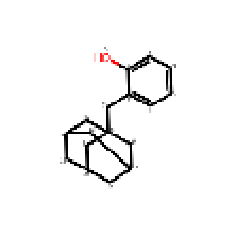 Oc1ccccc1CC12CC3CC(CC(C3)C1)C2